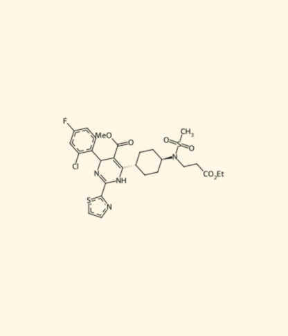 CCOC(=O)CCN([C@H]1CC[C@H](C2=C(C(=O)OC)C(c3ccc(F)cc3Cl)N=C(c3nccs3)N2)CC1)S(C)(=O)=O